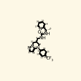 C[C@H](NC(=O)NCC1CN(c2ccc(C(F)(F)F)cc2)c2ccnn2C1)c1ccccn1